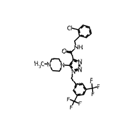 CN1CCN(c2c(C(=O)NCc3ccccc3Cl)nnn2Cc2cc(C(F)(F)F)cc(C(F)(F)F)c2)CC1